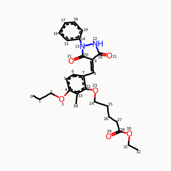 CCCOc1ccc(C=C2C(=O)NN(c3ccccc3)C2=O)c(OCCCCC(=O)OCC)c1C